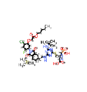 CCCCCOC(=O)COc1cc(N2C(=O)C3=C(CCCC3)C2=O)c(F)cc1Cl.CCNc1nc(NC(C)(C)C)nc(SC)n1.C[S+](C)C.O=C(O)CNCP(=O)([O-])O